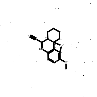 C#CC1Nc2ccc(OC)c3c2C2(CCCCC12)O3